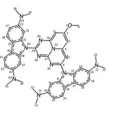 COC1=CC2=NC(n3c4cc(N(C)C)ccc4c4ccc(N(C)C)cc43)=NC3=NC(n4c5cc(N(C)C)ccc5c5ccc(N(C)C)cc54)=NC(=C1)N23